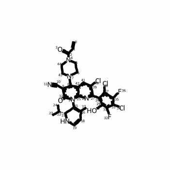 C=CC(=O)N1CCN(c2c(C#N)c(=O)n(C3=C(C)C=CN[C@@H]3C(C)C)c3nc(-c4c(O)c(F)c(Cl)c(F)c4Cl)c(Cl)cc23)CC1